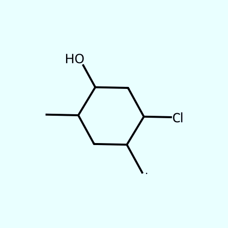 [CH2]C1CC(C)C(O)CC1Cl